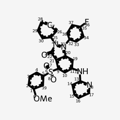 COc1cccc(S(=O)(=O)c2cc(Nc3ccccn3)cc3c2c(=O)n(-c2ccccc2)n3-c2ccc(F)cc2)c1